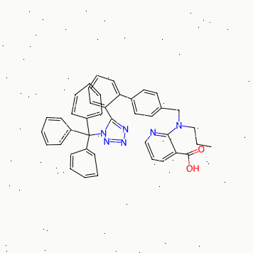 CCCN(Cc1ccc(-c2ccccc2-c2nnnn2C(c2ccccc2)(c2ccccc2)c2ccccc2)cc1)c1ncccc1C(=O)O